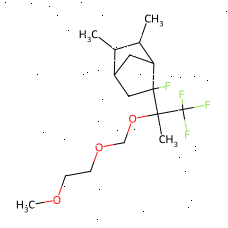 COCCOCOC(C)(C(F)(F)F)C1(F)CC2CC1C(C)C2C